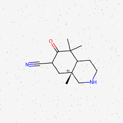 CC1(C)C(=O)C(C#N)C[C@@]2(C)CNCCC12